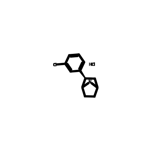 Cl.Clc1cccc([C@H]2CC3CCC2N3)c1